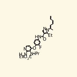 C=C/C=C\C=C(/C)n1ncc(C(=O)Nc2ccc(Oc3ccnc(N)c3N(C(=O)OCC)C(C)C)c(F)c2)c1CC